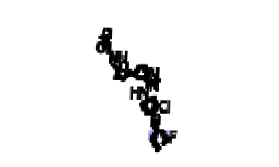 C#C/C=C(\C=C(/C)F)COc1ccc(Nc2ncnc3ccc(-c4ccc(CNCCS(C)(=O)=O)o4)cc23)cc1Cl